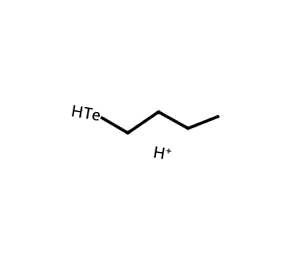 CCCC[TeH].[H+]